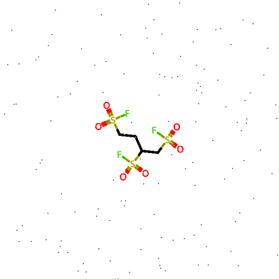 O=S(=O)(F)CCC(CS(=O)(=O)F)S(=O)(=O)F